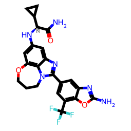 NC(=O)[C@@H](Nc1cc2c3c(c1)nc(-c1cc(C(F)(F)F)c4oc(N)nc4c1)n3CCCO2)C1CC1